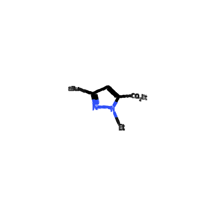 CCOC(=O)c1cc(C(C)(C)C)nn1CC